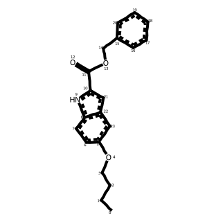 CCCCOc1ccc2[nH]c(C(=O)OCc3ccccc3)cc2c1